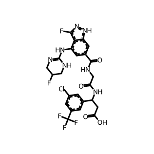 O=C(O)CC(NC(=O)CNC(=O)c1cc(NC2=NCC(F)CN2)c2c(F)n[nH]c2c1)c1cc(Cl)cc(C(F)(F)F)c1